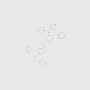 C1=C(c2ccccc2)N(c2ccc3cc(-c4ccc5c(-c6ccccc6)c6ccccc6c(-c6ccccc6)c5c4)ccc3c2)C(c2ccccc2)C1